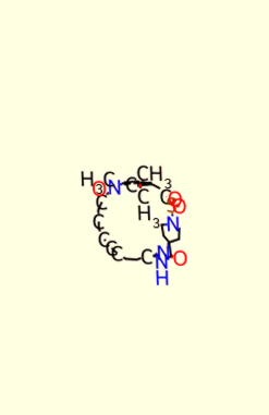 Cc1cc2cc(C)c1CCS(=O)(=O)N1CCC3(CC1)N=C(CCCCCCCCCCC(=O)N2C)NC3=O